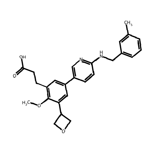 COc1c(CCC(=O)O)cc(-c2ccc(NCc3cccc(C)c3)nc2)cc1C1COC1